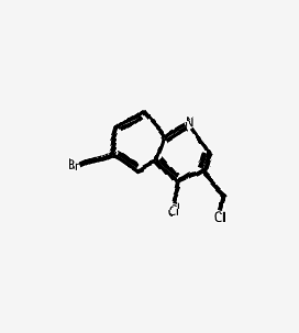 ClCc1cnc2ccc(Br)cc2c1Cl